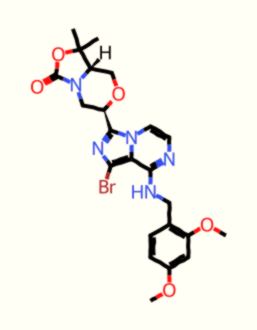 COc1ccc(CNc2nccn3c([C@H]4CN5C(=O)OC(C)(C)[C@@H]5CO4)nc(Br)c23)c(OC)c1